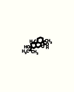 CC(C)C1(O)CCC2C(CCC3C(C)(C(=O)O)CCCC23C)C1